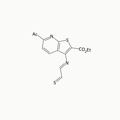 CCOC(=O)c1sc2nc(C(C)=O)ccc2c1N=CC=S